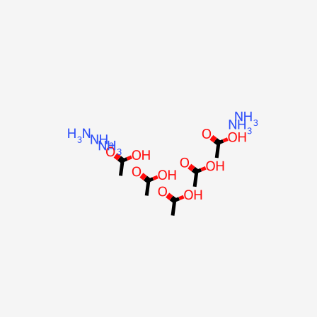 CC(=O)O.CC(=O)O.CC(=O)O.CC(=O)O.CC(=O)O.N.N.N.N.N